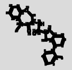 Cc1ccccc1-c1cccc2nc(C(=O)N[C@H]3COc4ccccc4N(C)C3=O)sc12